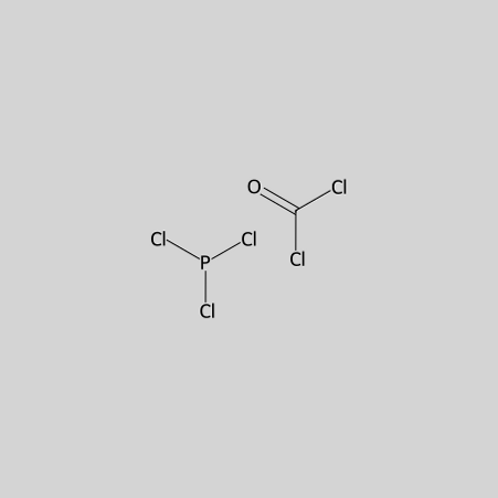 ClP(Cl)Cl.O=C(Cl)Cl